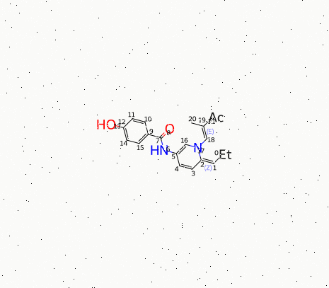 CC/C=C1/C=CC(NC(=O)c2ccc(O)cc2)=CN1/C=C(\C)C(C)=O